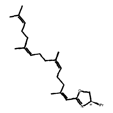 CC(C)=CCCC(C)=CCCC(C)=CCCC(C)=CC1=N[C@H](C(C)C)CO1